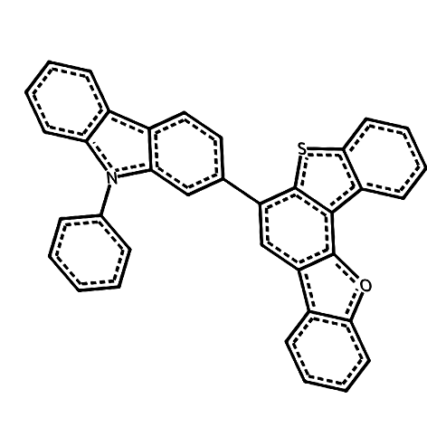 c1ccc(-n2c3ccccc3c3ccc(-c4cc5c6ccccc6oc5c5c4sc4ccccc45)cc32)cc1